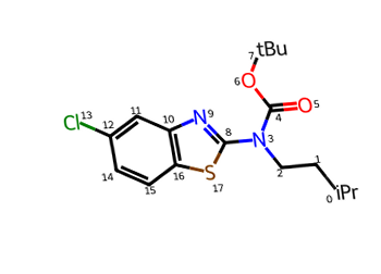 CC(C)CCN(C(=O)OC(C)(C)C)c1nc2cc(Cl)ccc2s1